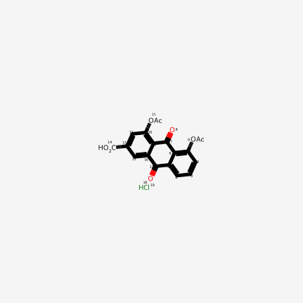 CC(=O)Oc1cccc2c1C(=O)c1c(OC(C)=O)cc(C(=O)O)cc1C2=O.Cl